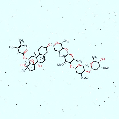 CO[C@H]1C[C@H](OC2CC[C@@]3(C)C(=CC[C@]4(O)[C@@H]3C[C@@H](OC(=O)CC(C)=C(C)C)[C@@]3(C)[C@@]4(O)CC[C@@]3(O)C(C)=O)C2)O[C@H](C)C1O[C@H]1C[C@H](OC)[C@H](O[C@H]2C[C@H](OC)[C@H](O[C@H]3C[C@@H](OC)[C@@H](O)[C@H](C)O3)[C@@H](C)O2)[C@H](C)O1